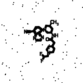 C[C@H]1C[C@@H](NC(=O)CC2CCN(CC(F)F)CC2)CN(c2ccc(C#N)c3nccnc23)C1